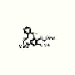 COCOc1c(OC)cc(OC)cc1Pc1ccccc1CNC(C)(C)C